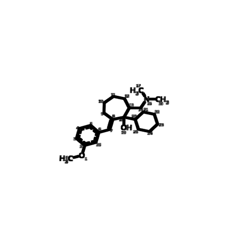 COc1cccc(C=C2CCCCC(CN(C)C)C2(O)C2CCCCC2)c1